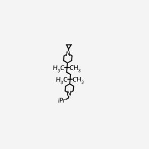 CC(C)CN1CCC(C(C)(C)CCC(C)(C)C2CCN(C3CC3)CC2)CC1